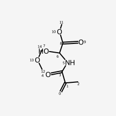 C=C(C)C(=O)NC(O)C(=O)OC.COC